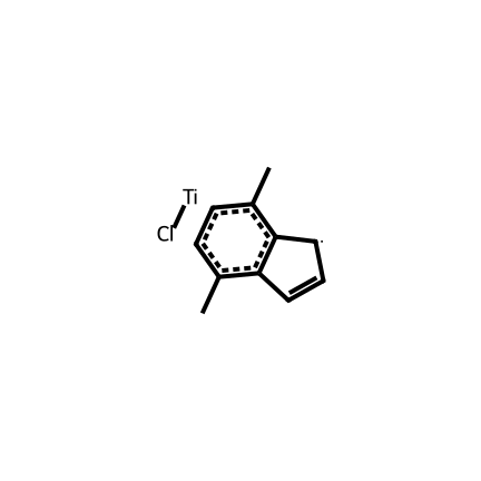 Cc1ccc(C)c2c1[CH]C=C2.[Cl][Ti]